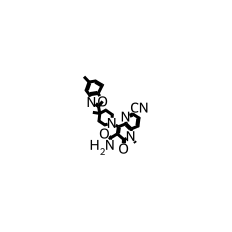 Cc1ccc2oc(C3(C)CCN(c4c(C(N)=O)c(=O)n(C)c5ccc(C#N)nc45)CC3)nc2c1